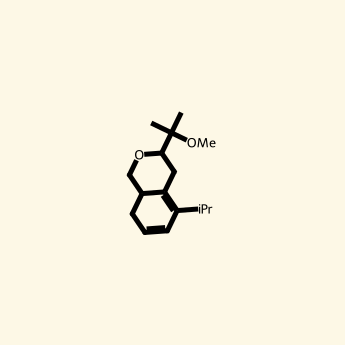 COC(C)(C)C1CC2=C(C(C)C)C=CCC2CO1